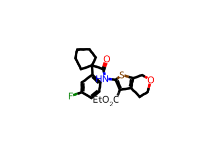 CCOC(=O)c1c(NC(=O)C2(c3cccc(F)c3)CCCCC2)sc2c1CCOC2